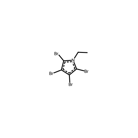 CCn1c(Br)c(Br)c(Br)c1Br